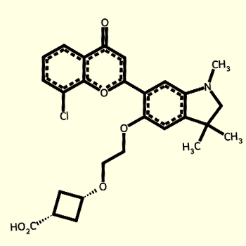 CN1CC(C)(C)c2cc(OCCO[C@H]3C[C@@H](C(=O)O)C3)c(-c3cc(=O)c4cccc(Cl)c4o3)cc21